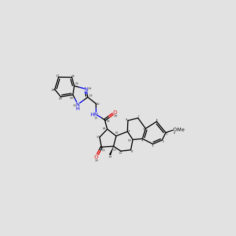 COc1ccc2c(c1)CCC1C2CC[C@]2(C)C(=O)CC(C(=O)NCc3nc4ccccc4[nH]3)C12